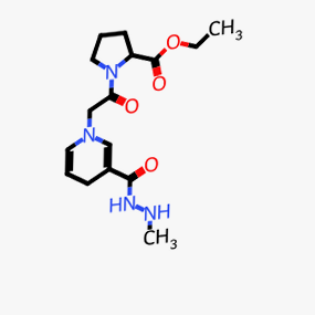 CCOC(=O)C1CCCN1C(=O)CN1C=CCC(C(=O)NNC)=C1